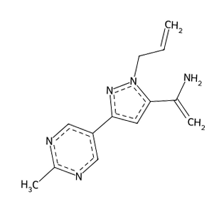 C=CCn1nc(-c2cnc(C)nc2)cc1C(=C)N